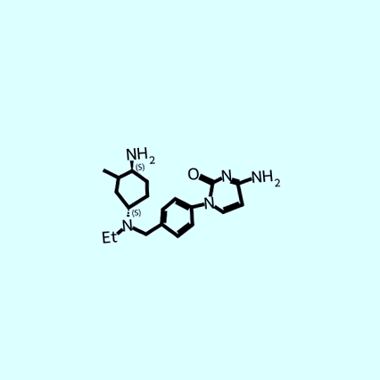 CCN(Cc1ccc(-n2ccc(N)nc2=O)cc1)[C@H]1CC[C@H](N)C(C)C1